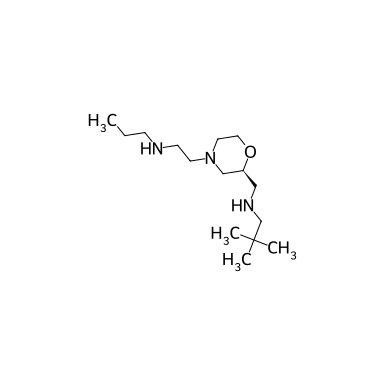 CCCNCCN1CCO[C@@H](CNCC(C)(C)C)C1